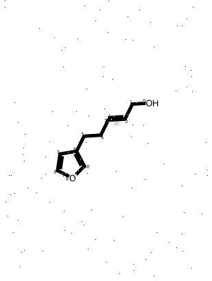 OC/C=C/CCc1ccoc1